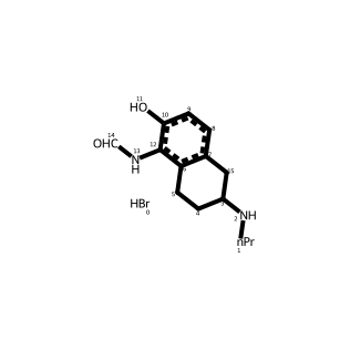 Br.CCCNC1CCc2c(ccc(O)c2NC=O)C1